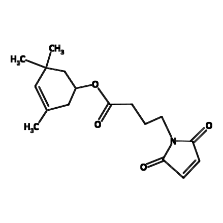 CC1=CC(C)(C)CC(OC(=O)CCCN2C(=O)C=CC2=O)C1